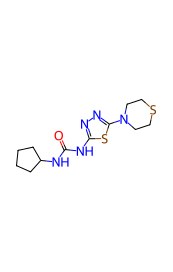 O=C(Nc1nnc(N2CCSCC2)s1)NC1CCCC1